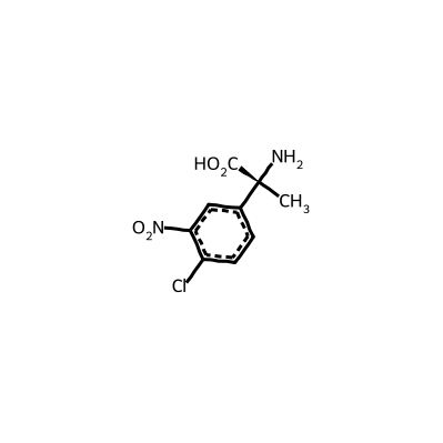 C[C@](N)(C(=O)O)c1ccc(Cl)c([N+](=O)[O-])c1